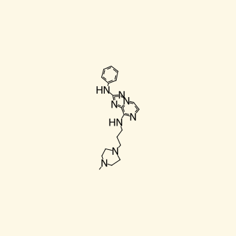 CN1CCN(CCCNc2nccn3nc(Nc4ccccc4)nc23)CC1